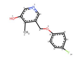 Cc1c(O)cncc1COc1ccc(F)cc1